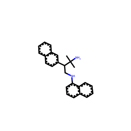 CC(C)(N)C(CNc1cccc2ccccc12)c1ccc2ccccc2c1